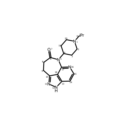 CC(C)N1CCC(N2C(=O)CCc3n[nH]c4ccnc2c34)CC1